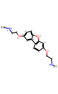 CCNCCOc1ccc2c(c1)oc1ccc(OCCNCC)cc12